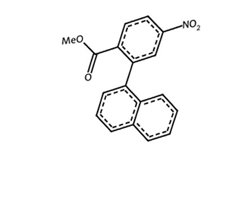 COC(=O)c1ccc([N+](=O)[O-])cc1-c1cccc2ccccc12